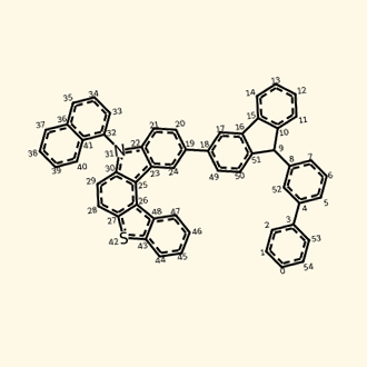 c1ccc(-c2cccc(C3c4ccccc4-c4cc(-c5ccc6c(c5)c5c7c(ccc5n6-c5cccc6ccccc56)sc5ccccc57)ccc43)c2)cc1